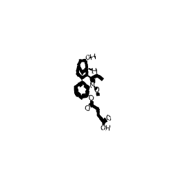 CCC(=NOC)[C@H]1[C@@H](c2cc[c]c(OC(=O)CCC(=O)O)c2)CC2CC(O)[C@H]1C2